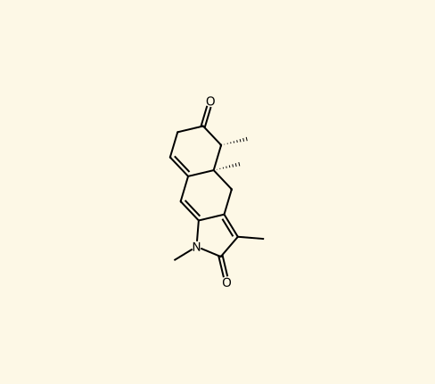 CC1=C2C[C@@]3(C)C(=CCC(=O)[C@@H]3C)C=C2N(C)C1=O